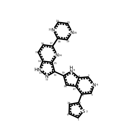 c1csc(-c2cncc3[nH]c(-c4n[nH]c5ccc(-c6cnccn6)nc45)cc23)c1